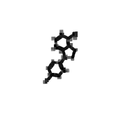 Fc1ccc(N2CCc3c(Cl)ncnc32)nc1